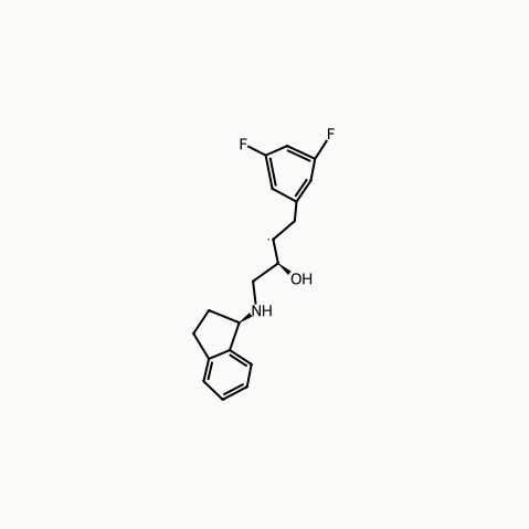 O[C@H]([CH]Cc1cc(F)cc(F)c1)CN[C@@H]1CCc2ccccc21